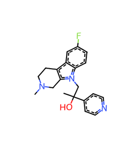 CN1CCc2c(n(CC(C)(O)c3ccncc3)c3ccc(F)cc23)C1